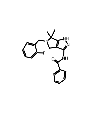 CC1(C)c2[nH]nc(NC(=O)c3ccccc3)c2CN1Cc1ccccc1F